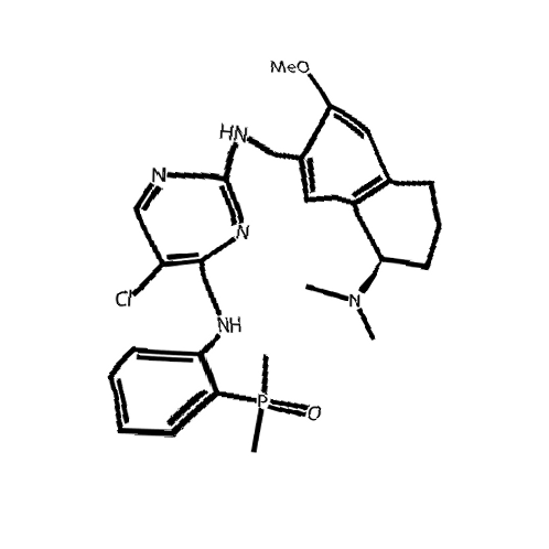 COc1cc2c(cc1Nc1ncc(Cl)c(Nc3ccccc3P(C)(C)=O)n1)[C@H](N(C)C)CCC2